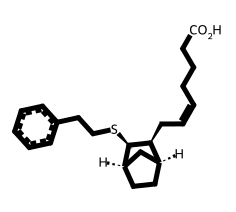 O=C(O)CCC/C=C\C[C@H]1[C@H]2CC[C@H](C2)[C@H]1SCCc1ccccc1